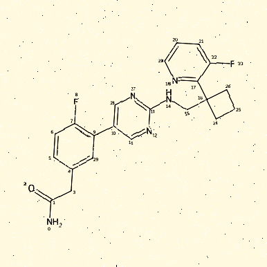 NC(=O)Cc1ccc(F)c(-c2cnc(NCC3(c4ncccc4F)CCC3)nc2)c1